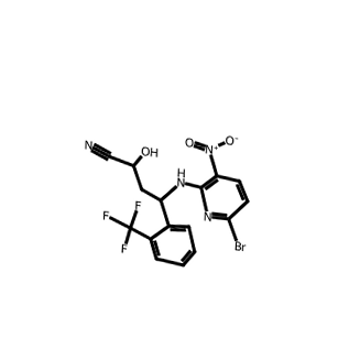 N#CC(O)CC(Nc1nc(Br)ccc1[N+](=O)[O-])c1ccccc1C(F)(F)F